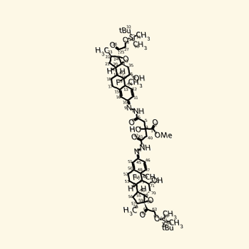 COC(=O)C(O)(CC(=O)N/N=C1\C=C[C@@]2(C)C(=C1)CC[C@H]1[C@@H]3C[C@@H](C)[C@@]4(C(=O)CO[Si](C)(C)C(C)(C)C)O[C@]34C[C@H](O)[C@@]12F)CC(=O)N/N=C1\C=C[C@@]2(C)C(=C1)CC[C@H]1[C@@H]3C[C@@H](C)[C@@]4(C(=O)CO[Si](C)(C)C(C)(C)C)O[C@]34C[C@H](O)[C@@]12F